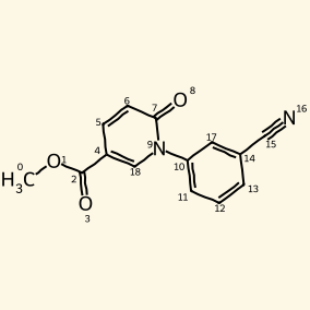 COC(=O)c1ccc(=O)n(-c2cccc(C#N)c2)c1